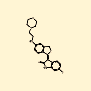 O=C1Nc2cc(F)ccc2C1=C1OCc2cc(NCCN3CCOCC3)ccc21